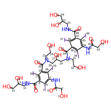 O=C(CO)Nc1c(I)c(C(=O)NCC(O)CO)c(I)c(C(=O)N(CCO)CC(O)CN(CCO)C(=O)c2c(I)c(NC(=O)CO)c(I)c(C(=O)NCC(O)CO)c2I)c1I